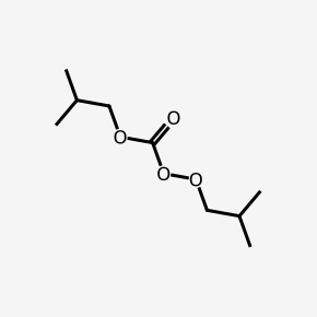 CC(C)COOC(=O)OCC(C)C